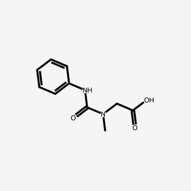 CN(CC(=O)O)C(=O)Nc1ccccc1